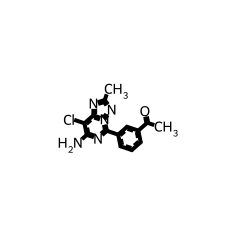 CC(=O)c1cccc(-c2nc(N)c(Cl)c3nc(C)nn23)c1